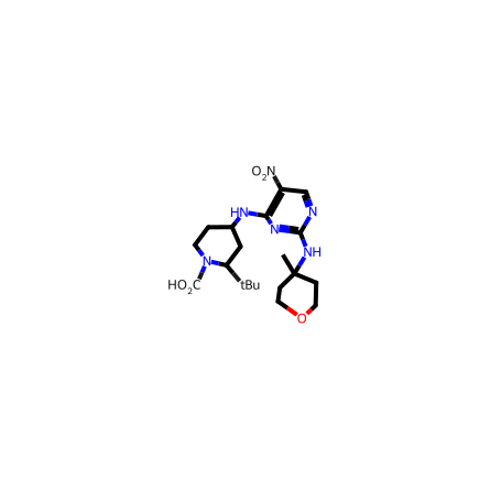 CC1(Nc2ncc([N+](=O)[O-])c(NC3CCN(C(=O)O)C(C(C)(C)C)C3)n2)CCOCC1